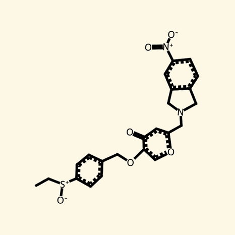 CC[S+]([O-])c1ccc(COc2coc(CN3Cc4ccc([N+](=O)[O-])cc4C3)cc2=O)cc1